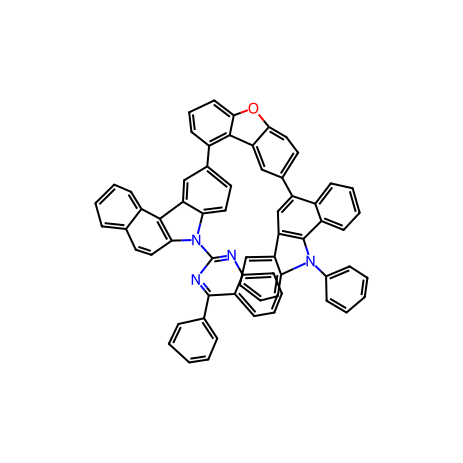 c1ccc(-c2nc(-n3c4ccc(-c5cccc6oc7ccc(-c8cc9c%10ccccc%10n(-c%10ccccc%10)c9c9ccccc89)cc7c56)cc4c4c5ccccc5ccc43)nc3ccccc23)cc1